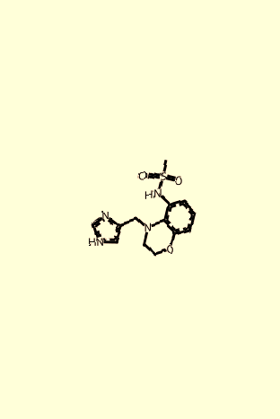 CS(=O)(=O)Nc1cccc2c1N(Cc1c[nH]cn1)CCO2